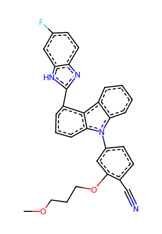 COCCCOc1cc(-n2c3ccccc3c3c(-c4nc5ccc(F)cc5[nH]4)cccc32)ccc1C#N